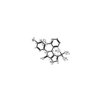 COc1ncccc1C1c2c(C(C)(C)C)n[nH]c2C(=O)N1c1ccc(Br)cc1